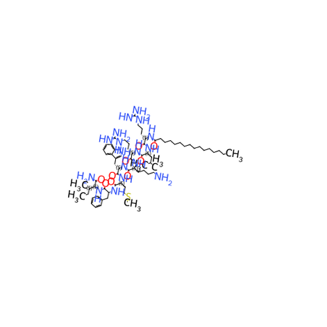 CCCCCCCCCCCCCCCC(=O)N[C@@H](CCCNC(=N)N)C(=O)N[C@@H](CC(C)C)C(=O)N[C@@H](CCCNC(=N)N)C(=O)N[C@@H](CCCCN)C(=O)N[C@@H](Cc1c[nH]c2ccccc12)C(=O)N[C@@H](CCSC)C(=O)NC(Cc1ccccc1)C(=O)N[C@H](C(N)=O)[C@@H](C)CC